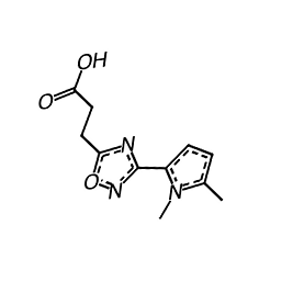 Cc1ccc(-c2noc(CCC(=O)O)n2)n1C